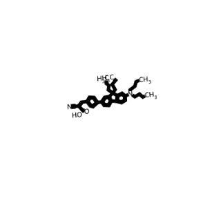 CCCCN(CCCC)c1ccc2c(c1)C(CCCC)(CCCC)c1cc(-c3ccc(/C=C(/C#N)C(=O)O)cc3)ccc1-2